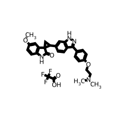 COc1ccc2c(c1)C1(CC1c1ccc3c(-c4ccc(OCCN(C)C)cc4)n[nH]c3c1)C(=O)N2.O=C(O)C(F)(F)F